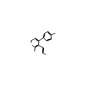 CO/C=C/C1=C(Cl)NCC=C1c1ccc(C(F)(F)F)cc1